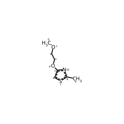 COCCOc1csc(C)n1